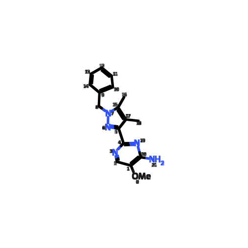 COc1cnc(-c2nn(Cc3ccccc3)c(C)c2C)nc1N